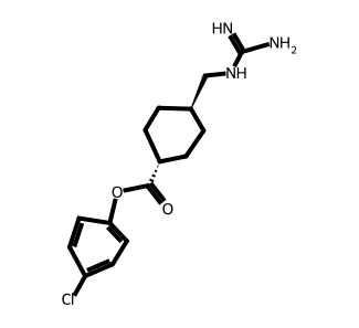 N=C(N)NC[C@H]1CC[C@H](C(=O)Oc2ccc(Cl)cc2)CC1